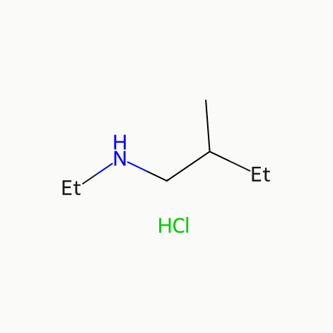 CCNCC(C)CC.Cl